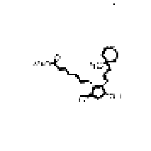 COC(=O)CCCCCC[C@H]1C(=O)C[C@@H](O)[C@@H]1/C=C/CC1(O)CCCCC1